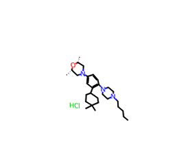 CCCCCN1CCN(c2ccc(N3C[C@@H](C)O[C@@H](C)C3)cc2C2CCC(C)(C)CC2)CC1.Cl